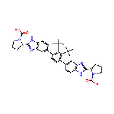 CC(C)(C)c1c(-c2ccc3[nH]c([C@@H]4CCCN4C(=O)O)nc3c2)ccc(-c2ccc3[nH]c([C@@H]4CCCN4C(=O)O)nc3c2)c1C(C)(C)C